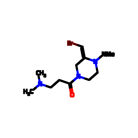 CNN1CCN(C(=O)CCN(C)C)C/C1=C\Br